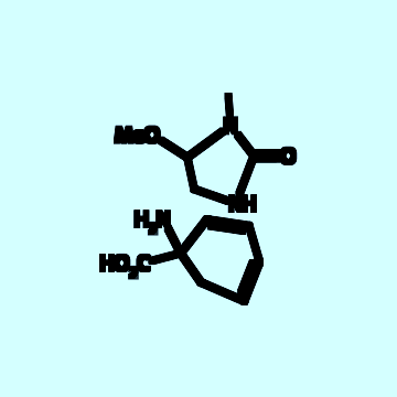 COC1CNC(=O)N1C.NC1(C(=O)O)C=CC=CC1